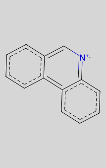 C1=c2ccccc2=c2ccccc2=[N+]1